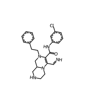 N=CC1=C(C(=O)Nc2cccc(Cl)c2)N(CCc2ccccc2)CC2CNCCN12